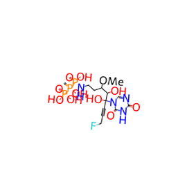 C=P(O)(P(=O)(O)O)P(=O)(O)NCCC(OC)C(O)C(O)(C#CCF)n1cnc(=O)[nH]c1=O